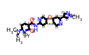 CC(C)n1c(N(C)C)ccc(C(=O)Nc2ccc(Oc3ccnc(-c4cnn(C)c4)c3)cn2)c1=O